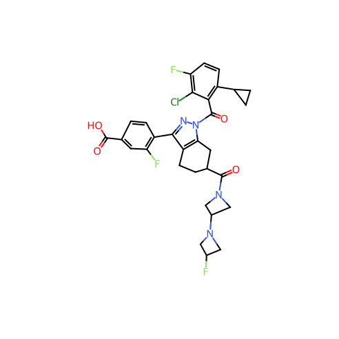 O=C(O)c1ccc(-c2nn(C(=O)c3c(C4CC4)ccc(F)c3Cl)c3c2CCC(C(=O)N2CC(N4CC(F)C4)C2)C3)c(F)c1